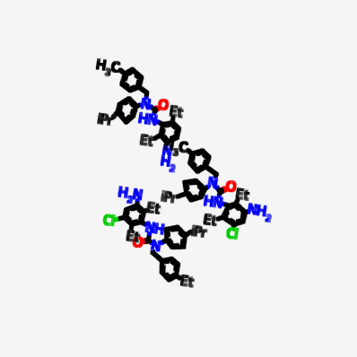 CCc1c(N)cc(Cl)c(CC)c1NC(=O)N(Cc1ccc(C)cc1)c1ccc(C(C)C)cc1.CCc1ccc(CN(C(=O)Nc2c(CC)c(N)cc(Cl)c2CC)c2ccc(C(C)C)cc2)cc1.CCc1ccc(N)c(CC)c1NC(=O)N(Cc1ccc(C)cc1)c1ccc(C(C)C)cc1